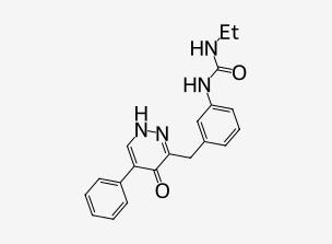 CCNC(=O)Nc1cccc(Cc2n[nH]cc(-c3ccccc3)c2=O)c1